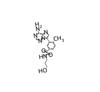 Cc1ccc(S(=O)(=O)NCCCO)cc1-c1cnc2c(N)ncnn12